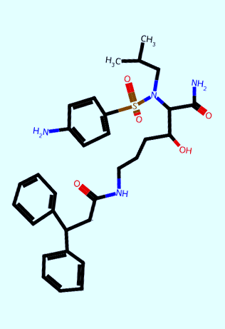 CC(C)CN(C(C(N)=O)C(O)CCCNC(=O)[CH]C(c1ccccc1)c1ccccc1)S(=O)(=O)c1ccc(N)cc1